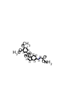 COc1ccc(S(=O)(=O)n2ccc3cc(/C=C/C(=O)ON)ccc32)cc1OC